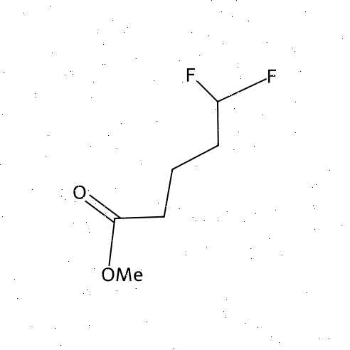 COC(=O)CCCC(F)F